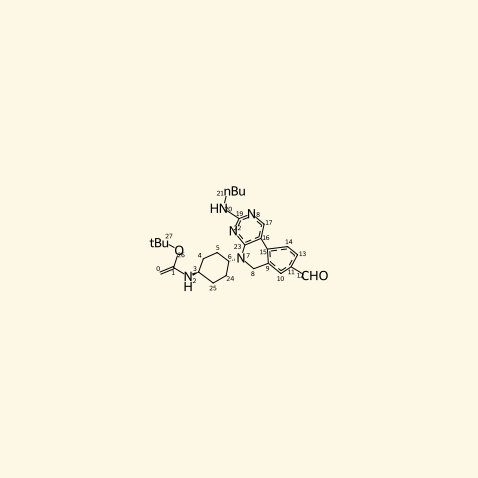 C=C(N[C@H]1CC[C@H](N2Cc3cc(C=O)ccc3-c3cnc(NCCCC)nc32)CC1)OC(C)(C)C